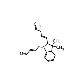 C=CC/C=C/C1N(C/C=C/C=O)C2=CC=CCC2C1(C)C